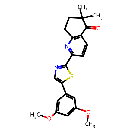 COc1cc(OC)cc(-c2cnc(-c3ccc4c(n3)CCC(C)(C)C4=O)s2)c1